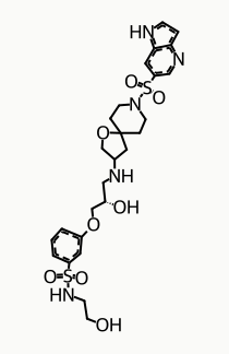 O=S(=O)(NCCO)c1cccc(OC[C@@H](O)CNC2COC3(CCN(S(=O)(=O)c4cnc5cc[nH]c5c4)CC3)C2)c1